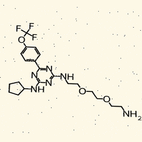 NCCOCCOCCNc1nc(NC2CCCC2)nc(-c2ccc(OC(F)(F)F)cc2)n1